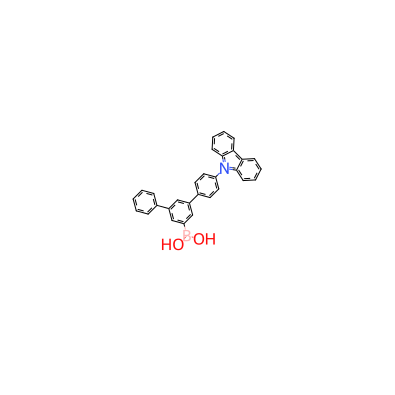 OB(O)c1cc(-c2ccccc2)cc(-c2ccc(-n3c4ccccc4c4ccccc43)cc2)c1